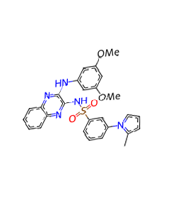 COc1cc(Nc2nc3ccccc3nc2NS(=O)(=O)c2cccc(-n3cccc3C)c2)cc(OC)c1